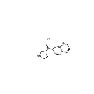 CN(c1ccc2cccnc2c1)C1CCNC1.Cl